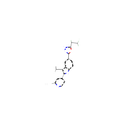 Cc1cc(-c2[nH]c3ccc(-c4nnc(C(F)C(F)F)o4)cc3c2C(C)C)ccn1